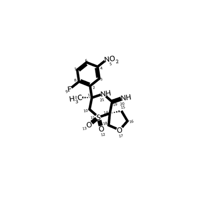 C[C@@]1(c2cc([N+](=O)[O-])ccc2F)CS(=O)(=O)[C@@]2(CCOC2)C(=N)N1